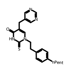 CCCCCc1ccc(CCn2cc(Cc3cncnc3)c(=O)[nH]c2=S)cc1